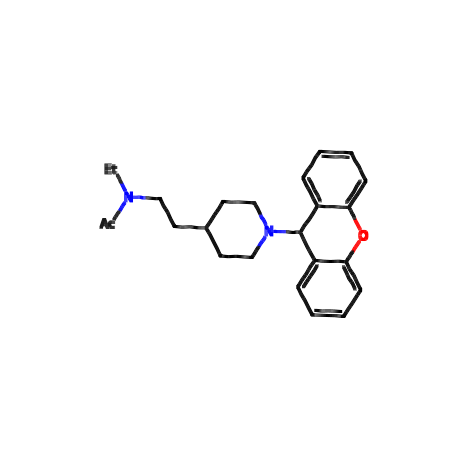 CCN(CCC1CCN(C2c3ccccc3Oc3ccccc32)CC1)C(C)=O